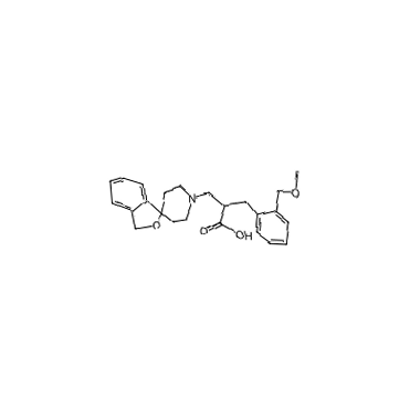 COCc1ccccc1CC(CN1CCC2(CC1)OCc1ccccc12)C(=O)O